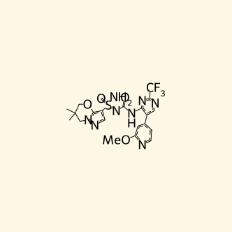 COc1cc(-c2cnc(C(F)(F)F)nc2NC(=O)N=[S@](N)(=O)c2cnn3c2OCC(C)(C)C3)ccn1